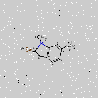 Cc1ccc2c(c1)N(C)C(=S)C2